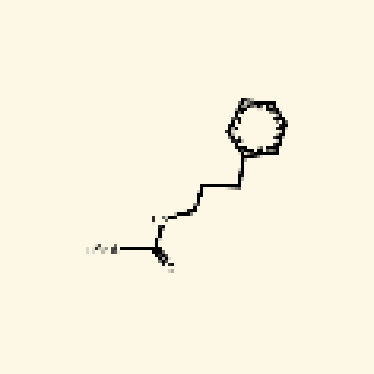 CCCCCC(=O)NCCCc1ccccc1